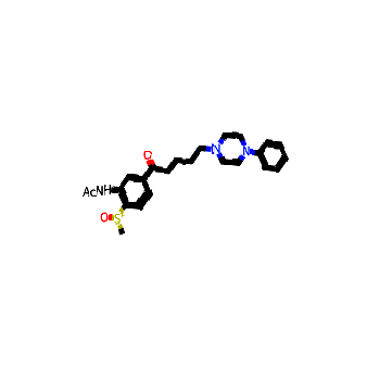 CC(=O)Nc1cc(C(=O)CCCCN2CCN(c3ccccc3)CC2)ccc1[S+](C)[O-]